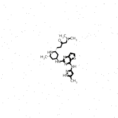 Cc1cc(Nc2nc(N[C@@H]3C[C@@H](CCC(=O)CN(C)C)N[C@@H](C)C3)nc3ccsc23)n[nH]1